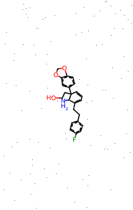 NC1C(CCc2ccc(F)cc2)=CC=CC1(CCO)c1ccc2c(c1)OCO2